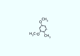 COc1c[c]c(C)c(OC)c1